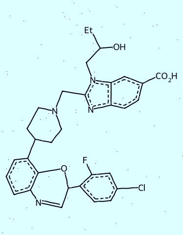 CCC(O)Cn1c(CN2CCC(c3cccc4c3OC(c3ccc(Cl)cc3F)C=N4)CC2)nc2ccc(C(=O)O)cc21